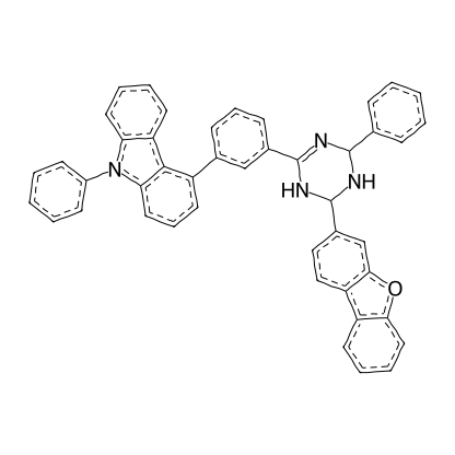 c1ccc(C2N=C(c3cccc(-c4cccc5c4c4ccccc4n5-c4ccccc4)c3)NC(c3ccc4c(c3)oc3ccccc34)N2)cc1